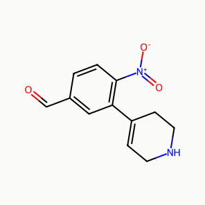 O=Cc1ccc([N+](=O)[O-])c(C2=CCNCC2)c1